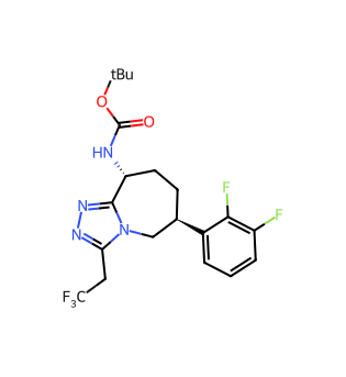 CC(C)(C)OC(=O)N[C@@H]1CC[C@@H](c2cccc(F)c2F)Cn2c(CC(F)(F)F)nnc21